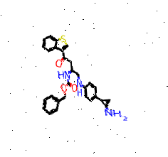 NC1CC1c1ccc(NCC(CC(=O)c2csc3ccccc23)NC(=O)OCc2ccccc2)cc1